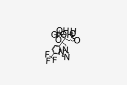 O=[SH](=O)CC1(C(Cn2cncn2)(OP(=O)(O)O)c2ccc(C(F)(F)F)cc2)CC1